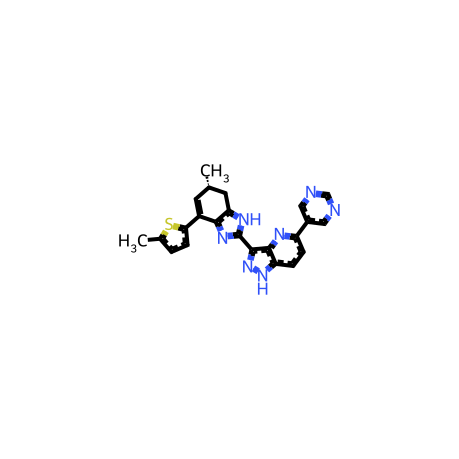 Cc1ccc(C2=C[C@H](C)Cc3[nH]c(-c4n[nH]c5ccc(-c6cncnc6)nc45)nc32)s1